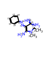 CCN(C)/C(N)=C(/N=N/c1ccccc1)C(=N)N